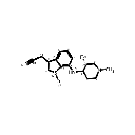 CN1CC[C@@H](Nc2cccc3c(CC#N)c[s+]([O-])c23)[C@H](F)C1